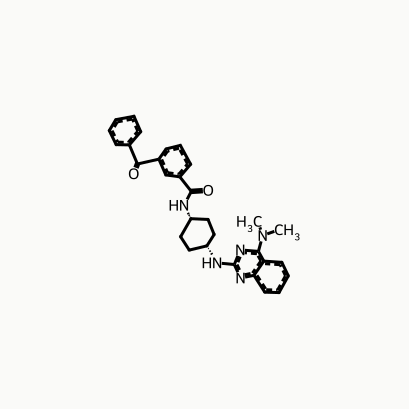 CN(C)c1nc(N[C@H]2CC[C@@H](NC(=O)c3cccc(C(=O)c4ccccc4)c3)CC2)nc2ccccc12